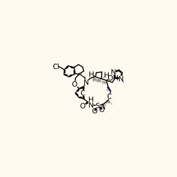 C[C@@H]1[C@@H](C)C/C=C/[C@](O)(Cc2nccn2C)[C@@H]2CC[C@H]2CN2C[C@@]3(CCCc4cc(Cl)ccc43)COc3ccc(cc32)C(=O)NS1(=O)=O